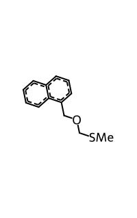 CSCOCc1cccc2ccccc12